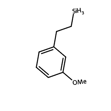 COc1cccc(CC[SiH3])c1